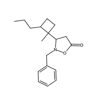 CCCC1CCC1(C)C1CC(=O)ON1Cc1ccccc1